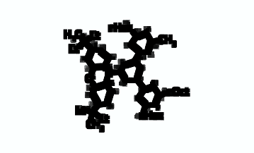 CCCCCCCCc1cc(CCCCCC)cc(-c2cc(-c3cc(C)cc(CCCCCC)c3)cc(N3c4ccc(C(C)(CC)CC)cc4Oc4cc(C(C)(CC)CC)ccc43)c2)c1